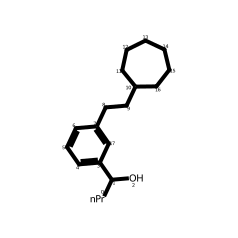 CCCC(O)c1cccc(CCC2CCCCCC2)c1